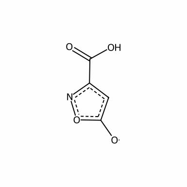 [O]c1cc(C(=O)O)no1